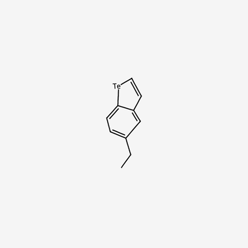 CCc1ccc2[te]ccc2c1